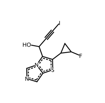 OC(C#CI)c1c(C2CC2F)sc2cncn12